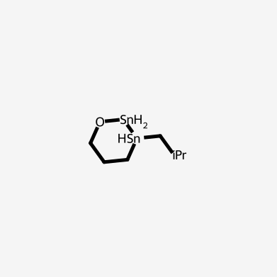 CC(C)[CH2][SnH]1[CH2]CC[O][SnH2]1